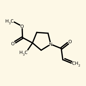 C=CC(=O)N1CCC(C)(C(=O)OC)C1